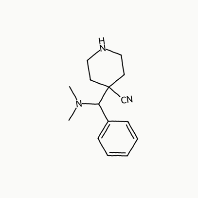 CN(C)C(c1ccccc1)C1(C#N)CCNCC1